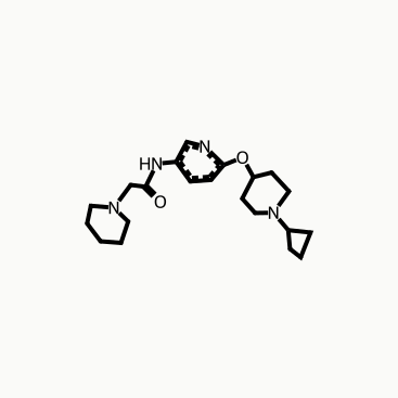 O=C(CN1CCCCC1)Nc1ccc(OC2CCN(C3CCC3)CC2)nc1